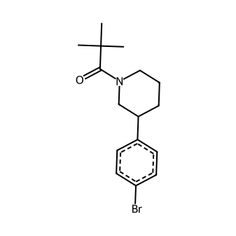 CC(C)(C)C(=O)N1CCCC(c2ccc(Br)cc2)C1